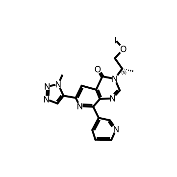 C[C@@H](COI)n1cnc2c(-c3cccnc3)nc(-c3cnnn3C)cc2c1=O